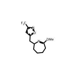 COC1=NC(Cc2cc(C(F)(F)F)no2)CCCC1